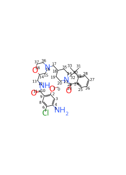 COc1cc(N)c(Cl)cc1C(=O)NCC1CN(CC2CCN(C(=O)c3ccccc3C(C)(C)C)CC2)CCO1